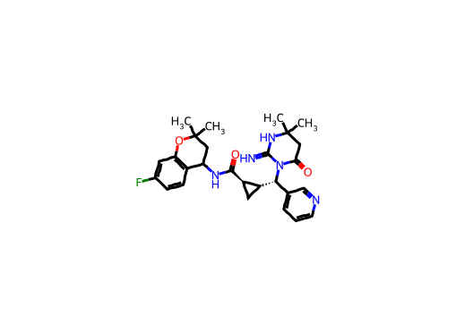 CC1(C)CC(=O)N([C@H](c2cccnc2)C2C[C@H]2C(=O)NC2CC(C)(C)Oc3cc(F)ccc32)C(=N)N1